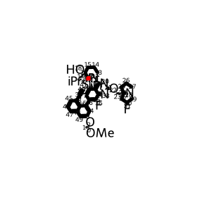 COCOc1cc(-c2c(F)cc3c(N4CCC[C@@](C)(O)C4)nc(OC[C@@]45CCCN4C[C@H](F)C5)nc3c2F)c2c(C#C[Si](C(C)C)(C(C)C)C(C)C)cccc2c1